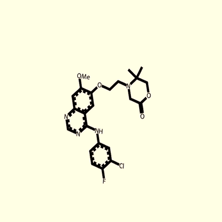 COc1cc2ncnc(Nc3ccc(F)c(Cl)c3)c2cc1OCCN1CC(=O)OCC1(C)C